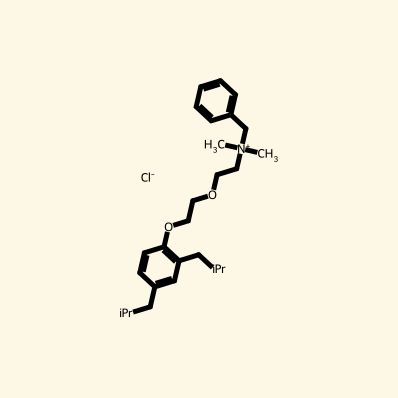 CC(C)Cc1ccc(OCCOCC[N+](C)(C)Cc2ccccc2)c(CC(C)C)c1.[Cl-]